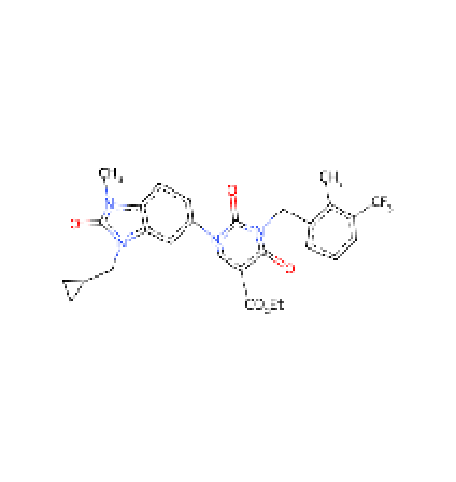 CCOC(=O)c1cn(-c2ccc3c(c2)n(CC2CC2)c(=O)n3C)c(=O)n(Cc2cccc(C(F)(F)F)c2C)c1=O